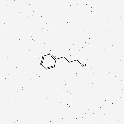 OCCCc1ccncn1